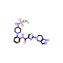 CS(=O)(=O)NC1CCN(c2ccccc2NC(=O)c2csc(N3CCc4[nH]ncc4C3)n2)CC1